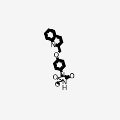 O=C1NS(=O)(=O)N1c1ccc(OCc2ccc3ccccc3n2)cc1